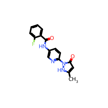 Cc1cc(=O)n(-c2ccc(NC(=O)c3ccccc3F)cn2)[nH]1